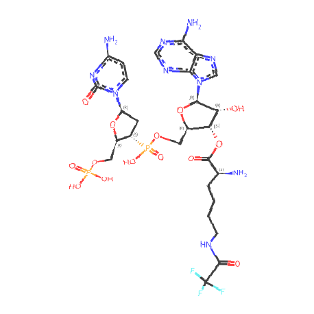 Nc1ccn([C@H]2C[C@H](P(=O)(O)OC[C@H]3O[C@@H](n4cnc5c(N)ncnc54)[C@H](O)[C@@H]3OC(=O)[C@@H](N)CCCCNC(=O)C(F)(F)F)[C@@H](COP(=O)(O)O)O2)c(=O)n1